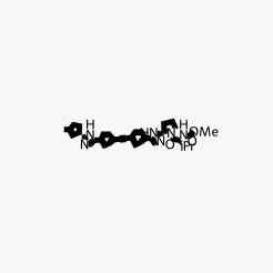 COC(=O)N[C@H](C(=O)N1CCC[C@H]1c1ncc(-c2ccc(C#Cc3ccc(-c4cnc([C@@H]5C=C(C)CC5)[nH]4)cc3)cc2)[nH]1)C(C)C